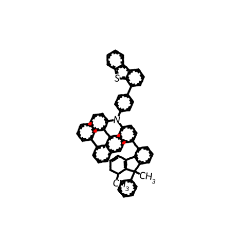 CC1CC=CC2=C1C(C)(c1ccccc1)c1cccc(-c3ccc(N(c4ccc(-c5cccc6c5sc5ccccc56)cc4)c4ccccc4-c4cccc5cccc(-c6ccccc6)c45)cc3)c12